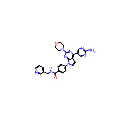 Nc1ncc(-c2nc(N3CCOCC3)nc3c2ccn3-c2ccc(C(=O)NCc3cccnc3)cc2)cn1